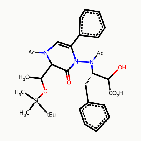 CC(=O)N1C=C(c2ccccc2)N(N(C(C)=O)[C@@H](Cc2ccccc2)C(O)C(=O)O)C(=O)C1C(C)O[Si](C)(C)C(C)(C)C